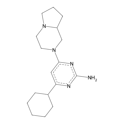 Nc1nc(C2CCCCC2)cc(N2CCN3CCCC3C2)n1